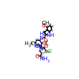 COc1cccc2[nH]c(C(=O)NC(CC(C)C)C(=O)NN(CCC(N)=O)C(=O)CCl)cc12